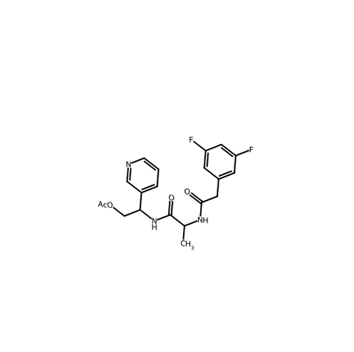 CC(=O)OCC(NC(=O)C(C)NC(=O)Cc1cc(F)cc(F)c1)c1cccnc1